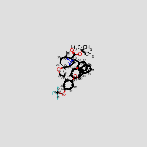 CC(C)(C)OC(=O)C1C[C@]2(c3ccccc3)N(Cc3ccccc3)[C@@H]1CC[C@@]21C[C@@H](c2cc(OC(F)(F)F)ccc2OCc2ccccc2)CO1